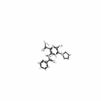 NC(=O)c1nc(Cl)c(N2CCCC2)nc1NC(=O)c1ccccc1